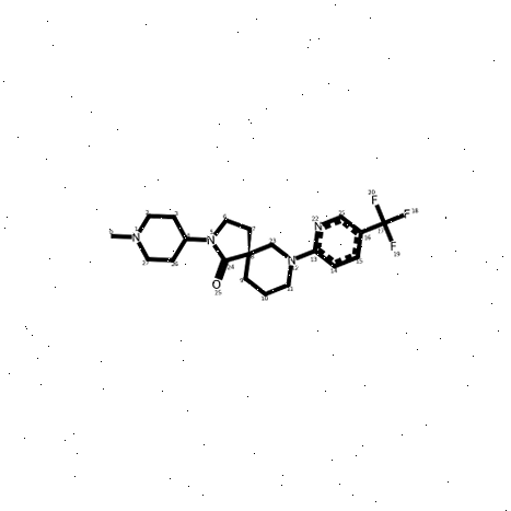 CN1CCC(N2CC[C@@]3(CCCN(c4ccc(C(F)(F)F)cn4)C3)C2=O)CC1